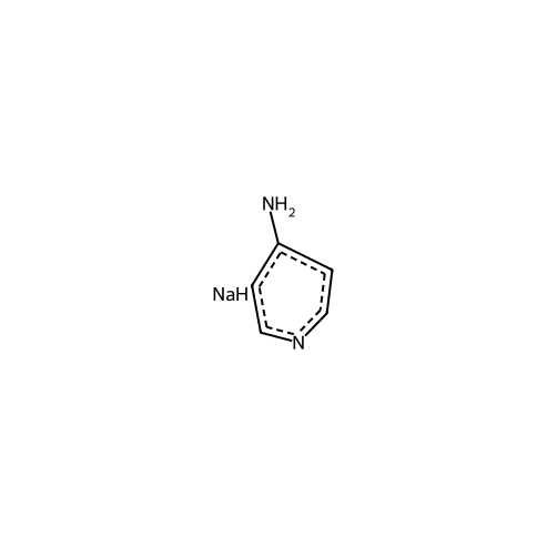 Nc1ccncc1.[NaH]